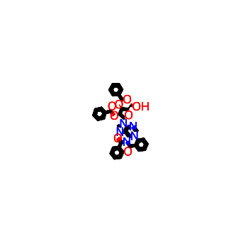 O=C(O[C@@H]1[C@H](OC(=O)c2ccccc2)[C@@H](CO)O[C@H]1n1cnc2c(N(C(=O)c3ccccc3)C(=O)c3ccccc3)ncnc21)c1ccccc1